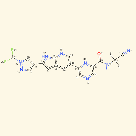 CC(C)(C#N)NC(=O)c1cncc(-c2cnc3[nH]c(-c4cnn(C(F)F)c4)cc3c2)n1